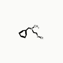 CCSCCN(C)Cc1ccccc1